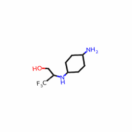 NC1CCC(NC(CO)C(F)(F)F)CC1